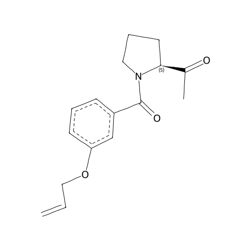 C=CCOc1cccc(C(=O)N2CCC[C@H]2C(C)=O)c1